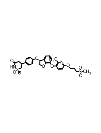 Cc1nc(OCCCS(C)(=O)=O)ccc1Oc1cccc2c1OC[C@H]2Oc1ccc(C2CC(=O)NS(=O)(=O)C2)cc1